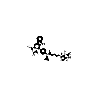 O=C1N[C@H]2[C@H](CS[C@H]2CCCCC(=O)N(c2ccc([C@@H]3c4[nH]c5ccccc5c4C[C@H](C(=O)O)N3C(=O)CCl)cc2)C2CC2)N1